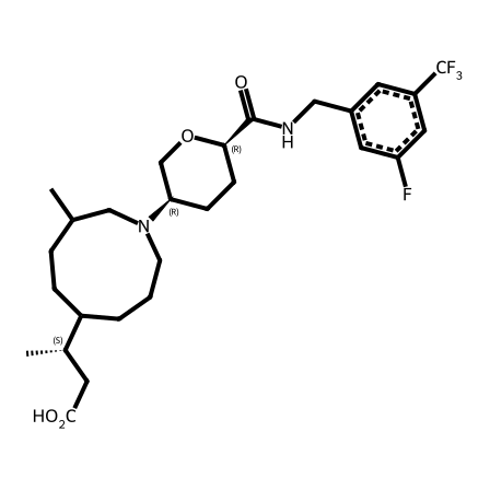 CC1CCC([C@@H](C)CC(=O)O)CCCN([C@@H]2CC[C@H](C(=O)NCc3cc(F)cc(C(F)(F)F)c3)OC2)C1